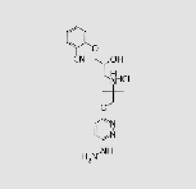 CC(C)(COc1ccc(NN)nn1)NCC(O)COc1ccccc1C#N.Cl